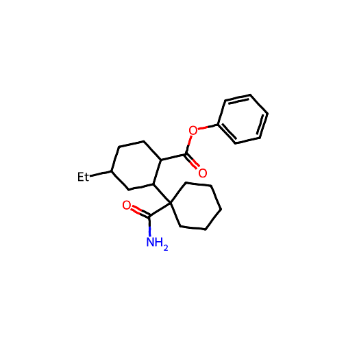 CCC1CCC(C(=O)Oc2ccccc2)C(C2(C(N)=O)CCCCC2)C1